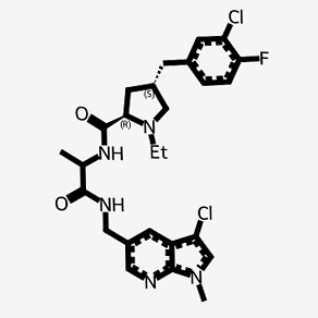 CCN1C[C@@H](Cc2ccc(F)c(Cl)c2)C[C@@H]1C(=O)NC(C)C(=O)NCc1cnc2c(c1)c(Cl)cn2C